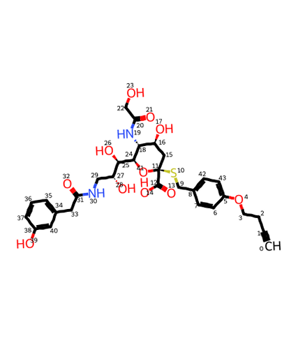 C#CCCOc1ccc(CS[C@]2(C(=O)O)C[C@H](O)[C@@H](NC(=O)CO)[C@H]([C@H](O)[C@H](O)CNC(=O)Cc3cccc(O)c3)O2)cc1